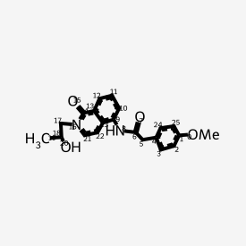 COc1ccc(CC(=O)Nc2cccc3c(=O)n(CC(C)O)ccc23)cc1